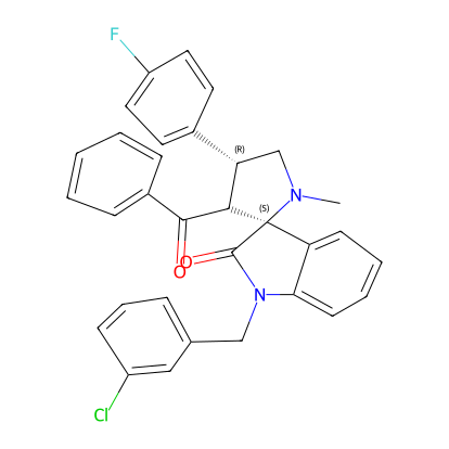 CN1C[C@@H](c2ccc(F)cc2)C(C(=O)c2ccccc2)[C@]12C(=O)N(Cc1cccc(Cl)c1)c1ccccc12